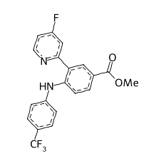 COC(=O)c1ccc(Nc2ccc(C(F)(F)F)cc2)c(-c2cc(F)ccn2)c1